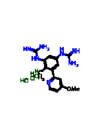 COc1ccnc(-c2cc(NC(=N)N)cc(NC(=N)N)c2C)c1.Cl.Cl.Cl